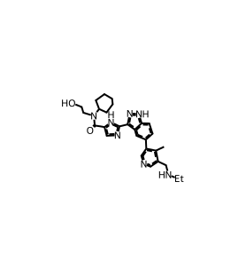 CCNCc1cncc(-c2ccc3[nH]nc(-c4ncc(C(=O)N(CCO)C5CCCCC5)[nH]4)c3c2)c1C